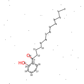 CCCCCCCCCCCCCC(=O)c1ccccc1O